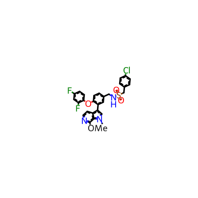 COc1nccc2c(-c3cc(CNS(=O)(=O)Cc4ccc(Cl)cc4)ccc3Oc3ccc(F)cc3F)cn(C)c12